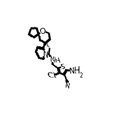 N#Cc1c(N)sc(CNCC[C@@]2(c3ccccn3)CCOC3(CCCC3)C2)c1Cl